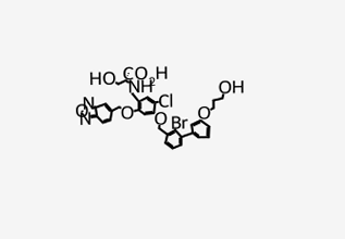 O=C(O)[C@@H](CO)NCc1cc(Cl)c(OCc2cccc(-c3cccc(OCCCO)c3)c2Br)cc1OCc1ccc2nonc2c1